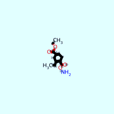 CCOC(=O)C1=CCC(C(=O)ON)=C(CC)C1